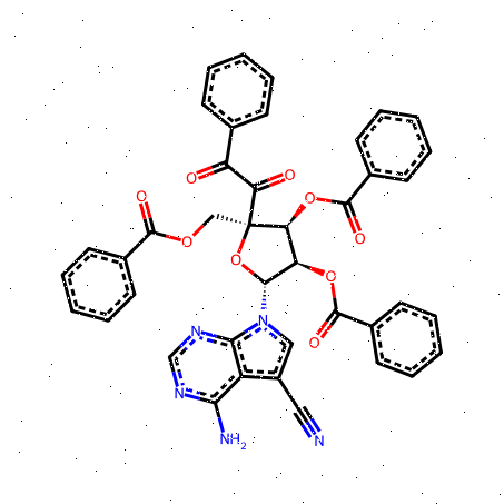 N#Cc1cn([C@@H]2O[C@@](COC(=O)c3ccccc3)(C(=O)C(=O)c3ccccc3)[C@@H](OC(=O)c3ccccc3)[C@H]2OC(=O)c2ccccc2)c2ncnc(N)c12